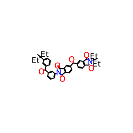 CCC(C)(CC)c1cccc(C(=O)c2cccc(N3C(=O)c4ccc(C(=O)c5ccc6c(c5)C(=O)N(C(C)(CC)CC)C6=O)cc4C3=O)c2)c1